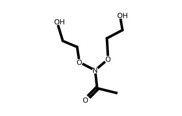 CC(=O)N(OCCO)OCCO